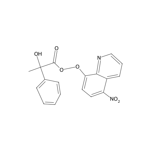 CC(O)(C(=O)OOc1ccc([N+](=O)[O-])c2cccnc12)c1ccccc1